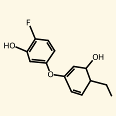 CCC1C=CC(Oc2ccc(F)c(O)c2)=CC1O